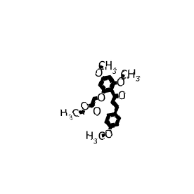 CCOC(=O)COc1cc(OC)cc(OC)c1C(=O)/C=C/c1ccc(OC)cc1